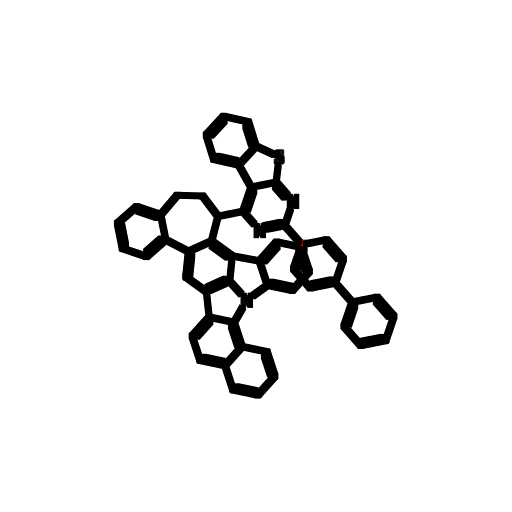 c1ccc(-c2ccc(-c3nc(C4CCc5ccccc5-c5cc6c7ccc8ccccc8c7n7c8ccccc8c(c54)c67)c4c(n3)sc3ccccc34)cc2)cc1